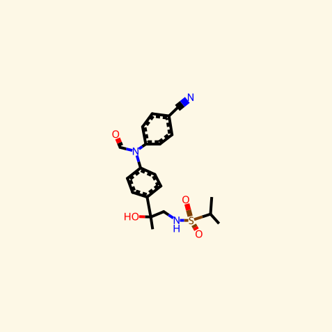 CC(C)S(=O)(=O)NCC(C)(O)c1ccc(N(C=O)c2ccc(C#N)cc2)cc1